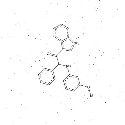 CCOc1cccc(NC(C(=O)c2c[nH]c3ccccc23)c2ccccc2)c1